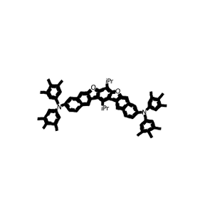 Cc1cc(N(c2cc(C)c(C)c(C)c2)c2ccc3cc4c(cc3c2)oc2c(C(C)C)c3oc5cc6cc(N(c7cc(C)c(C)c(C)c7)c7cc(C)c(C)c(C)c7)ccc6cc5c3c(C(C)C)c24)cc(C)c1C